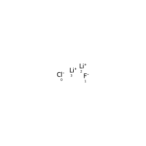 [Cl-].[F-].[Li+].[Li+]